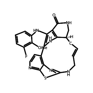 COc1c(F)cccc1Nc1c2[nH]c3c1C(=O)NC[C@H]3C/C=C/CNc1nc3c-2ccnc3s1